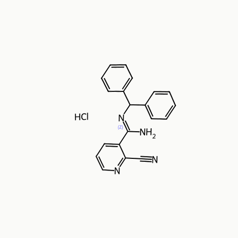 Cl.N#Cc1ncccc1/C(N)=N/C(c1ccccc1)c1ccccc1